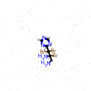 NCC(N)(Br)C(Br)(Br)c1ncncn1